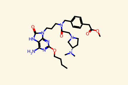 CCCCOc1nc(N)c2[nH]c(=O)n(CCCN(Cc3ccc(CC(=O)OC)cc3)C(=O)CN3CC[C@H](N(C)C)C3)c2n1